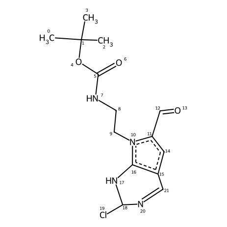 CC(C)(C)OC(=O)NCCn1c(C=O)cc2c1NC(Cl)N=C2